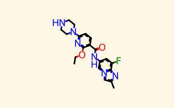 CCOc1nc(N2CCNCC2)ccc1C(=O)Nc1cc(F)c2nc(C)cn2c1